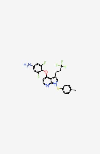 Cc1ccc(Sn2cc(CCC(F)(F)F)c3c(Oc4c(F)cc(N)cc4F)ccnc32)cc1